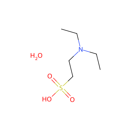 CCN(CC)CCS(=O)(=O)O.O